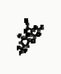 N#Cc1nn(-c2c(F)cc(C(F)(F)F)cc2Cl)c(C=O)c1SCF